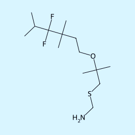 CC(C)C(F)(F)C(C)(C)CCOC(C)(C)CSCN